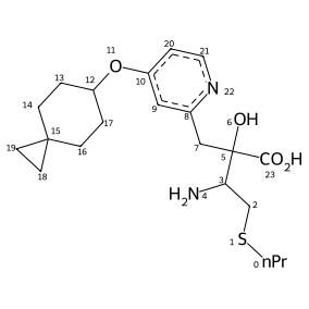 CCCSCC(N)C(O)(Cc1cc(OC2CCC3(CC2)CC3)ccn1)C(=O)O